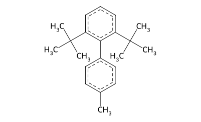 Cc1ccc(-c2c(C(C)(C)C)cccc2C(C)(C)C)cc1